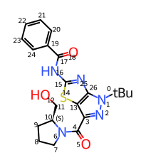 CC(C)(C)n1nc(C(=O)N2CCC[C@H]2CO)c2sc(NC(=O)c3ccccc3)nc21